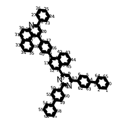 c1ccc(-c2ccc(-c3cc(-c4ccc(-c5ccc(-c6cc(-c7ccccc7)nc7ccc8ccccc8c67)cc5)c5ccccc45)nc(-c4ccc(-c5ccccc5)cc4)n3)cc2)cc1